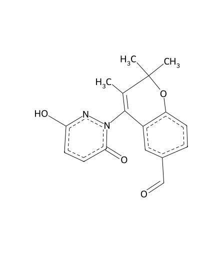 CC1=C(n2nc(O)ccc2=O)c2cc(C=O)ccc2OC1(C)C